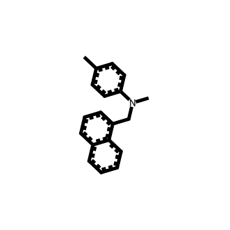 Cc1ccc(N(C)Cc2cccc3ccccc23)cc1